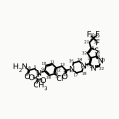 CS(=O)(=O)N(CC(N)=O)c1ccc(CC(=O)N2CCN(c3ncnc4sc(CC(F)(F)F)cc34)CC2)c(Cl)c1